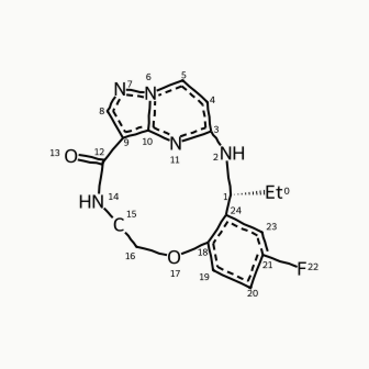 CC[C@H]1Nc2ccn3ncc(c3n2)C(=O)NCCOc2ccc(F)cc21